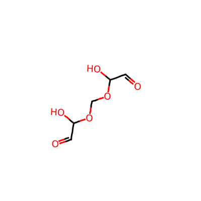 O=CC(O)OCOC(O)C=O